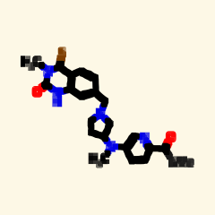 CNC(=O)c1ccc(N(C)C2CCN(Cc3ccc4c(=S)n(C)c(=O)[nH]c4c3)C2)cn1